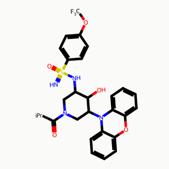 CC(C)C(=O)N1CC(NS(=N)(=O)c2ccc(OC(F)(F)F)cc2)C(O)C(N2c3ccccc3Oc3ccccc32)C1